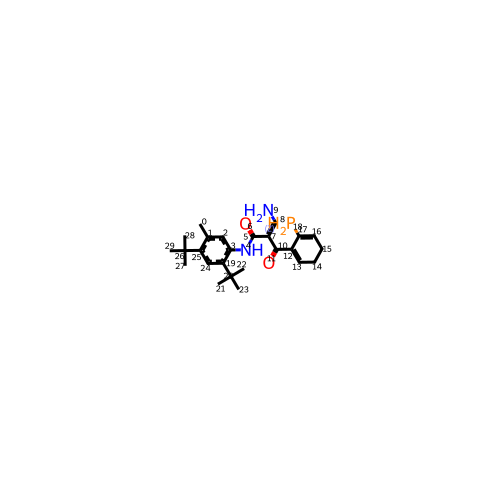 Cc1cc(NC(=O)/C(=C\N)C(=O)C2=CCCC=C2P)c(C(C)(C)C)cc1C(C)(C)C